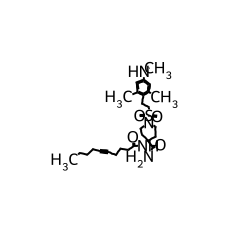 CCCCC#CCCCC(=O)NC1(C(N)=O)CCN(S(=O)(=O)CCc2c(C)cc(NC)cc2C)CC1